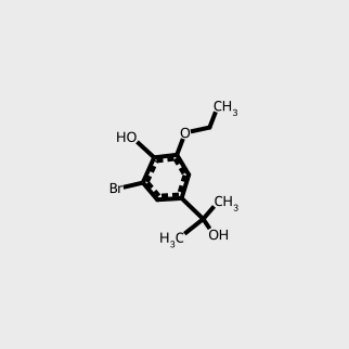 CCOc1cc(C(C)(C)O)cc(Br)c1O